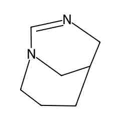 C1=NCC2CCCN1C2